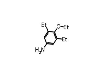 CCOc1c(CC)cc(N)cc1CC